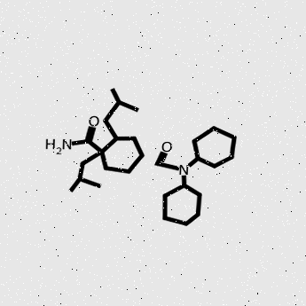 CC(C)CC1CCCCC1(CC(C)C)C(N)=O.O=CN(C1CCCCC1)C1CCCCC1